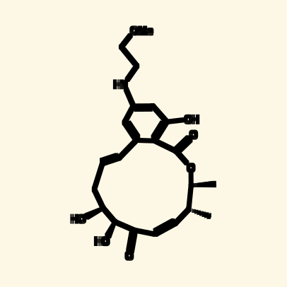 COCCNc1cc(O)c2c(c1)/C=C/C[C@H](O)[C@H](O)C(=O)/C=C\[C@@H](C)[C@H](C)OC2=O